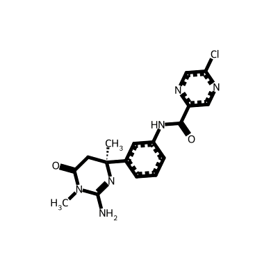 CN1C(=O)C[C@@](C)(c2cccc(NC(=O)c3cnc(Cl)cn3)c2)N=C1N